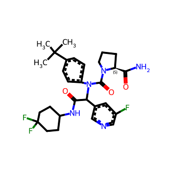 CC(C)(C)c1ccc(N(C(=O)N2CCC[C@H]2C(N)=O)C(C(=O)NC2CCC(F)(F)CC2)c2cncc(F)c2)cc1